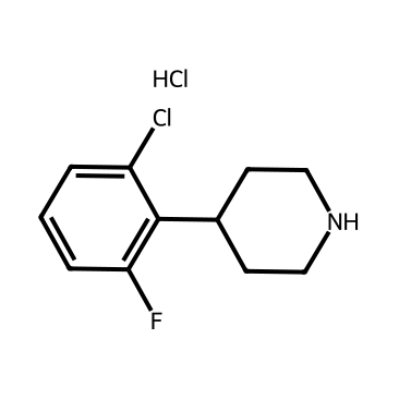 Cl.Fc1cccc(Cl)c1C1CCNCC1